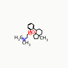 CN(C)CCOc1ccccc1C1CCCC2(C)CCCC12O